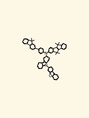 CC1(C)C2=C(c3ccccc31)C(C)(C)c1cc(N(c3ccc(-c4ccc5c(c4)C(C)(C)c4ccccc4-5)cc3)c3ccc4c(c3)c3ccccc3n4-c3ccc4c(c3)oc3ccccc34)ccc12